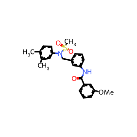 COc1cccc(C(=O)Nc2cccc(CN(c3ccc(C)c(C)c3)S(C)(=O)=O)c2)c1